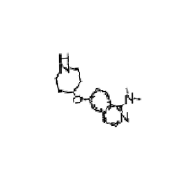 CN(C)c1nccc2cc(OC3CCNCC3)ccc12